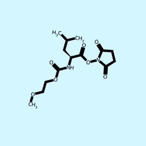 COCCOC(=O)N[C@@H](CC(C)C)C(=O)ON1C(=O)CCC1=O